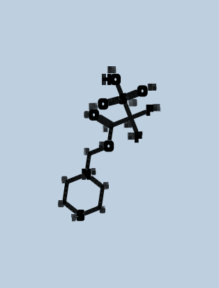 O=C(OCN1CCSCC1)C(F)(F)S(=O)(=O)O